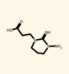 N=C1N(N)CCCN1CCC(=O)O